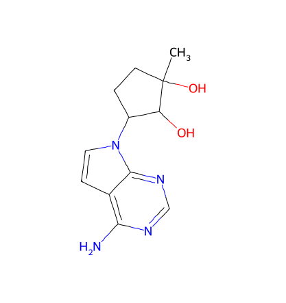 CC1(O)CCC(n2ccc3c(N)ncnc32)C1O